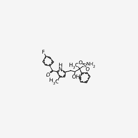 Cc1cc(CC(O)C(C)(c2ccccc2)S(N)(=O)=O)[nH]c1C(=O)c1ccc(F)cc1